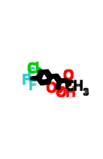 CC(=O)C(=Cc1ccc(C(F)(F)F)c(Cl)c1)C(=O)O